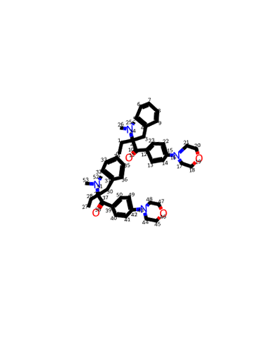 CCC(Cc1ccccc1)(C(=O)c1ccc(N2CCOCC2)cc1)N(C)C.CCC(Cc1ccccc1)(C(=O)c1ccc(N2CCOCC2)cc1)N(C)C